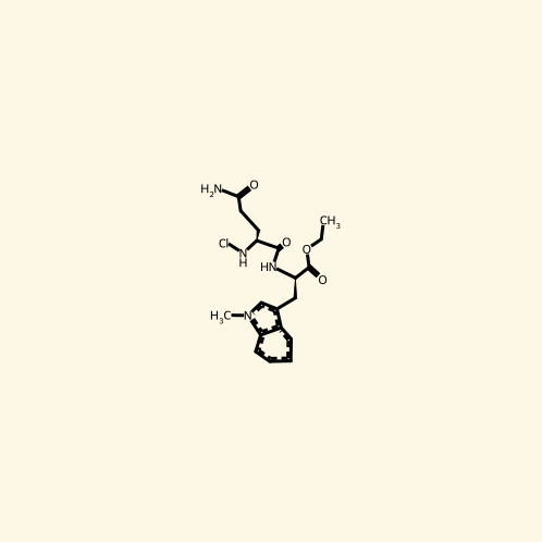 CCOC(=O)[C@@H](Cc1cn(C)c2ccccc12)NC(=O)[C@H](CCC(N)=O)NCl